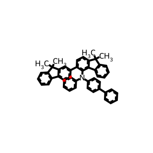 CC1(C)c2ccccc2-c2ccc(-c3ccc4c(c3N(c3ccccc3)c3ccc(-c5ccccc5)cc3)-c3ccccc3C4(C)C)cc21